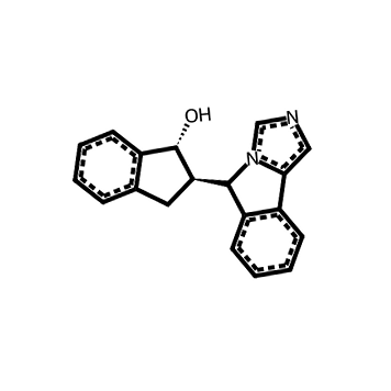 O[C@H]1c2ccccc2C[C@@H]1C1c2ccccc2-c2cncn21